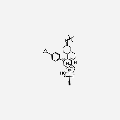 C#CC(F)(F)[C@]1(O)CC[C@H]2[C@@H]3CCC4=CC(=N[N+](C)(C)C)CCC4=C3[C@H](c3ccc(C4CC4)cc3)C[C@@]21C